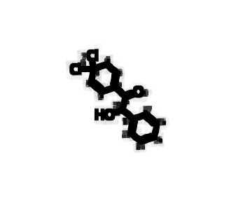 O=C(C1=CCC(Cl)(Cl)C=C1)C(O)c1ccccc1